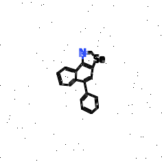 c1ccc(-c2cc3[se]cnc3c3ccccc23)cc1